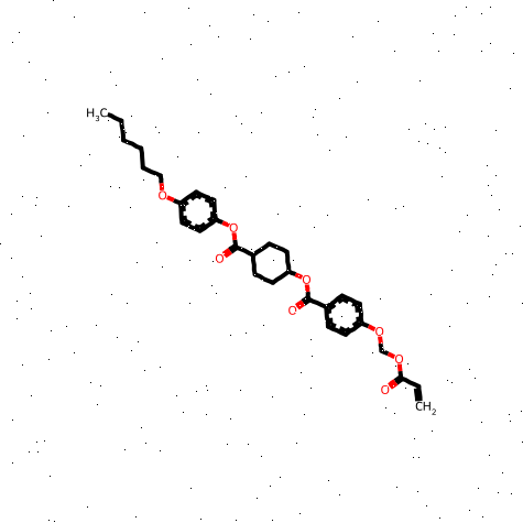 C=CC(=O)OCOc1ccc(C(=O)OC2CCC(C(=O)Oc3ccc(OCCCCCC)cc3)CC2)cc1